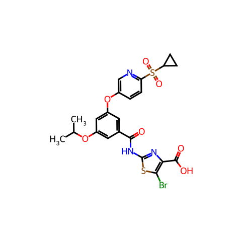 CC(C)Oc1cc(Oc2ccc(S(=O)(=O)C3CC3)nc2)cc(C(=O)Nc2nc(C(=O)O)c(Br)s2)c1